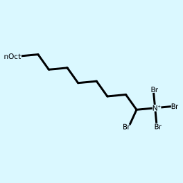 CCCCCCCCCCCCCCCC(Br)[N+](Br)(Br)Br